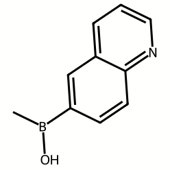 CB(O)c1ccc2ncccc2c1